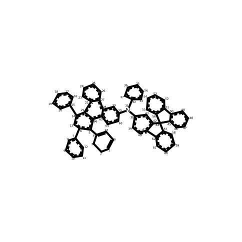 C1=CCCC(c2c(-c3ccccc3)cc(-c3ccccc3)c3c4ccccc4c4cc(N(c5ccccc5)c5ccc6c(c5)C5(c7ccccc7-c7ccccc75)c5ccccc5-6)ccc4c23)=C1